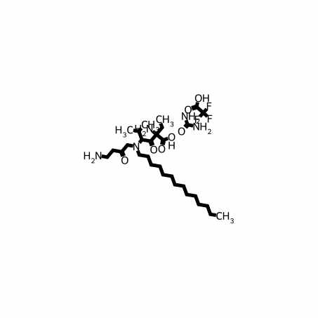 CCCCCCCCCCCCCCN(CC(=O)CCN)C(C(=O)C(N)(CC)C(=O)O)C(C)C.NC(N)=O.O=C(O)C(F)(F)F